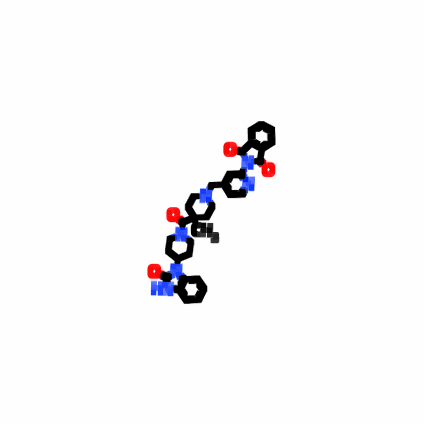 CC1(C(=O)N2CCC(n3c(=O)[nH]c4ccccc43)CC2)CCN(Cc2ccnc(N3C(=O)c4ccccc4C3=O)c2)CC1